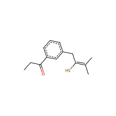 CCC(=O)c1cccc(CC(S)=C(C)C)c1